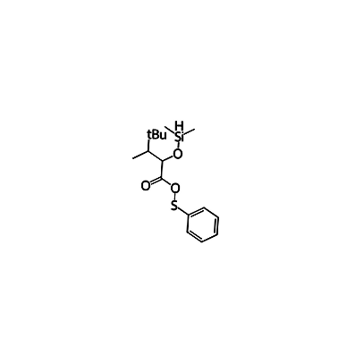 CC(C(O[SiH](C)C)C(=O)OSc1ccccc1)C(C)(C)C